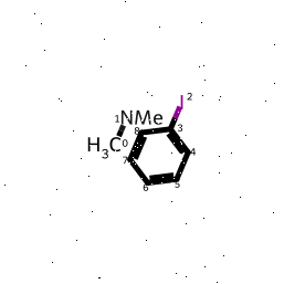 CNC.Ic1ccccc1